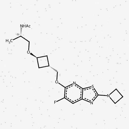 CC(=O)N[C@@H](C)CO[C@H]1C[C@H](COc2nc3sc(N4CCC4)nc3cc2F)C1